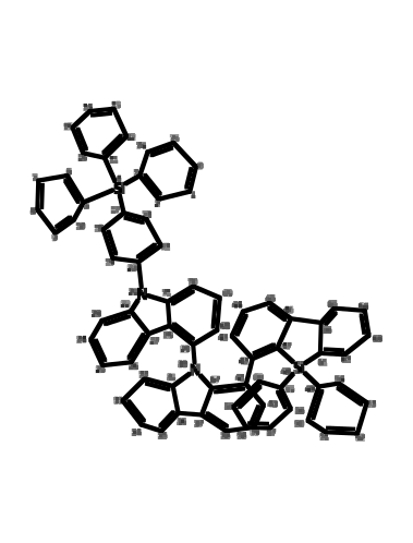 c1ccc([Si](c2ccccc2)(c2ccccc2)c2ccc(-n3c4ccccc4c4c(-n5c6ccccc6c6cccc(-c7cccc8c7[Si](c7ccccc7)(c7ccccc7)c7ccccc7-8)c65)cccc43)cc2)cc1